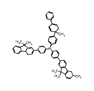 CC1C=CC2=C(C1)c1ccc(-c3ccc(N(c4ccc(C5=CCC6C(=C5)C(C)(C)c5ccccc56)cc4)c4ccc(C5(C)C=CC(c6ccccc6)=CC5)cc4)cc3)cc1C2(C)C